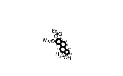 CCC(=O)Oc1cc2c(cc1OC)C1CC[C@@]3(C)C(CC[C@@H]3O)C1CC2